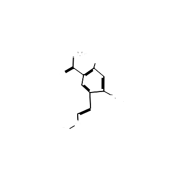 CCOC=Cc1cc(C(=O)OC)c(Cl)cc1N